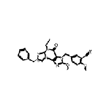 CCN1C(=O)c2c(nc(OC)n2Cc2ccc(OC)c(C#N)c2)N2C[C@@H](Cc3ccccc3)N=C12